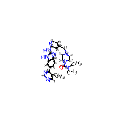 COc1cncnc1-c1ccc2nc(Nc3cc(CN4CCN(C(=O)N(C)C)CC4)ccn3)[nH]c2c1